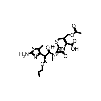 CCCON=C(C(=O)N[C@@H]1C(=O)N2C(C(=O)O)=C(COC(C)=O)CS[C@H]12)c1nc(N)sc1C